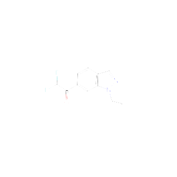 O=C(c1ccc2cnn(CC(F)(F)F)c2c1)C(F)F